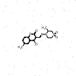 Cc1ccc2oc(=O)c(/C=N/N3CCS(=O)(=O)CC3C)c(Cl)c2c1